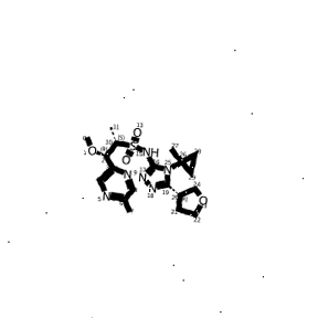 CO[C@H](c1cnc(C)cn1)[C@H](C)S(=O)(=O)Nc1nnc([C@H]2CCOC2)n1C1(C)CC1